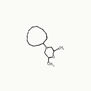 CC1CN(C2CCCCCCCCCCC2)CC(C)O1